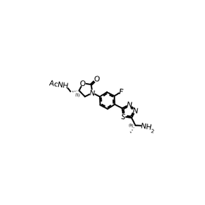 CC(=O)NC[C@H]1CN(c2ccc(-c3nnc([C@@H](C)N)s3)c(F)c2)C(=O)O1